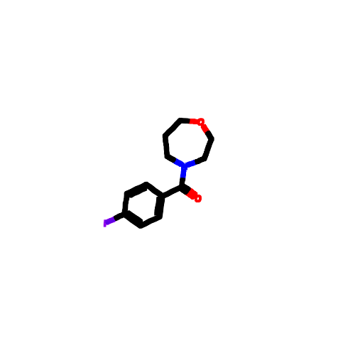 O=C(c1ccc(I)cc1)N1CCCOCC1